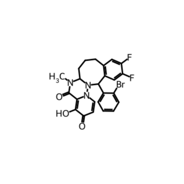 CN1C(=O)c2c(O)c(=O)ccn2N2C(c3ccccc3Br)c3cc(F)c(F)cc3CCCC12